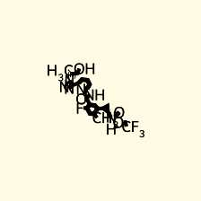 Cc1cc(F)c(C(=O)Nc2cccc(-c3nncn3[C@H](C)CO)n2)cc1C1CC1NC(=O)OCC(F)(F)F